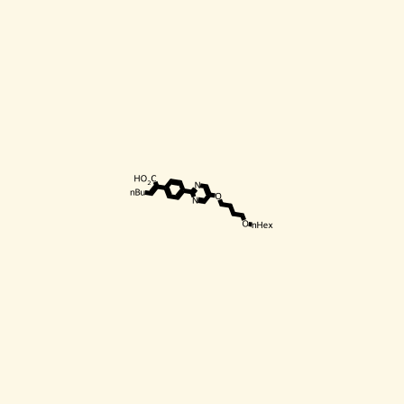 CCCCC=C(C(=O)O)c1ccc(-c2ncc(OCCCCOCCCCCC)cn2)cc1